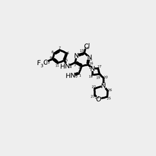 N=Cc1c(Nc2cccc(C(F)(F)F)c2)nc(Cl)nc1N1CC(CN2CCOCC2)C1